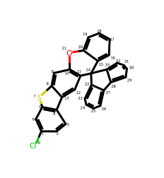 Clc1ccc2c(c1)sc1cc3c(cc12)C1(c2ccccc2O3)c2ccccc2-c2ccccc21